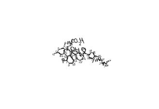 Cc1cccc(-c2c(F)cccc2[C@](O)(CCCNC(=O)O)[C@@H]2CCCN(C(=O)c3ccc(CNCCN(C)C)cc3)C2)c1